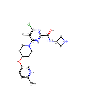 COc1ccc(OC2CCN(c3nc(C(=O)NC4CNC4)nc(Cl)c3C)CC2)cn1